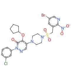 O=c1c(OC2CCCC2)c(N2CCN(S(=O)(=O)Cc3cc(Br)cnc3[N+](=O)[O-])CC2)cnn1-c1cccc(Cl)c1